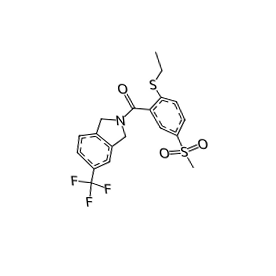 CCSc1ccc(S(C)(=O)=O)cc1C(=O)N1Cc2ccc(C(F)(F)F)cc2C1